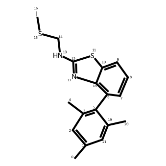 Cc1cc(C)c(-c2cccc3sc(NCSI)nc23)c(C)c1